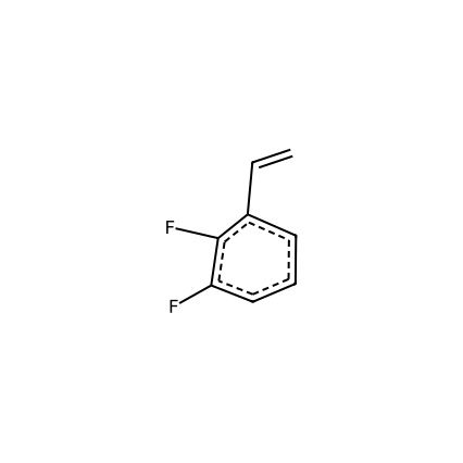 C=Cc1cccc(F)c1F